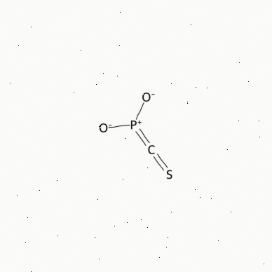 [O-][P+]([O-])=C=S